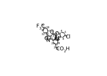 CCN(Oc1ccc(Cl)cc1Cl)C(=O)c1c(-c2cccc(CC(=O)O)c2)noc1-c1ccc(C(F)(F)F)cc1